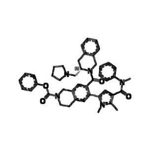 Cc1c(C(=O)N(C)c2ccccc2)cc(-c2cc3c(cc2C(=O)N2Cc4ccccc4C[C@H]2CN2CCCC2)CN(C(=O)Oc2ccccc2)CC3)n1C